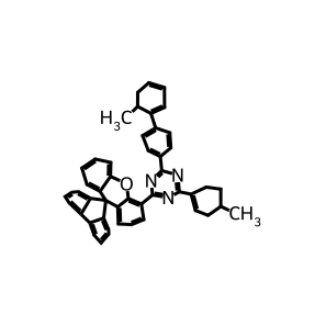 CC1CC=C(c2nc(-c3ccc(C4=CC=CCC4C)cc3)nc(-c3cccc4c3Oc3ccccc3C43c4ccccc4-c4ccccc43)n2)CC1